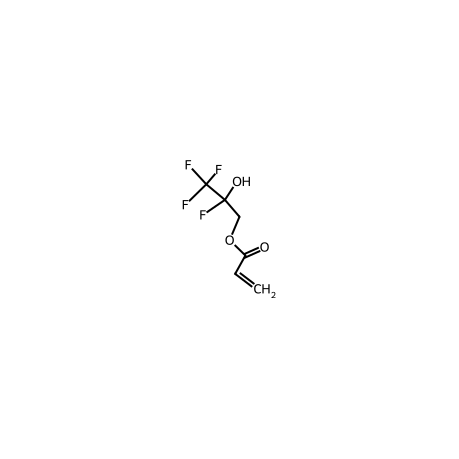 C=CC(=O)OCC(O)(F)C(F)(F)F